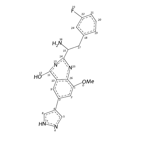 COc1cc(-c2cn[nH]c2)cc2c(O)nc(C(N)Cc3cccc(F)c3)nc12